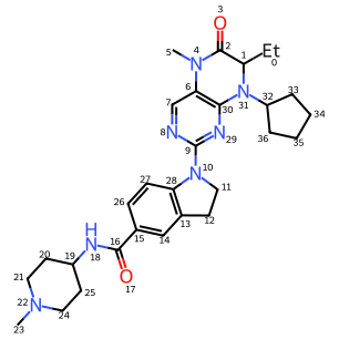 CCC1C(=O)N(C)c2cnc(N3CCc4cc(C(=O)NC5CCN(C)CC5)ccc43)nc2N1C1CCCC1